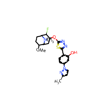 COC1CCC2C(F)C(Oc3nnc(-c4ccc(-n5ccc(C)n5)cc4O)s3)CC1N2C